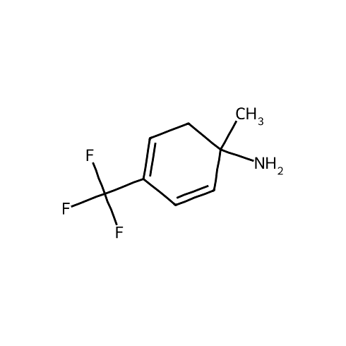 CC1(N)C=CC(C(F)(F)F)=CC1